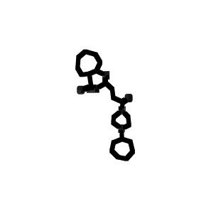 O=C1NC(CCC(=O)N2CCB(C3CCCCCC3)CC2)=NC2CCCCCCC12